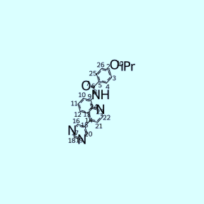 CC(C)Oc1ccc(C(=O)Nc2cccc3c(-c4cncnc4)ccnc23)cc1